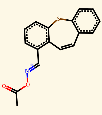 CC(=O)O/N=C/c1cccc2c1C=Cc1ccccc1S2